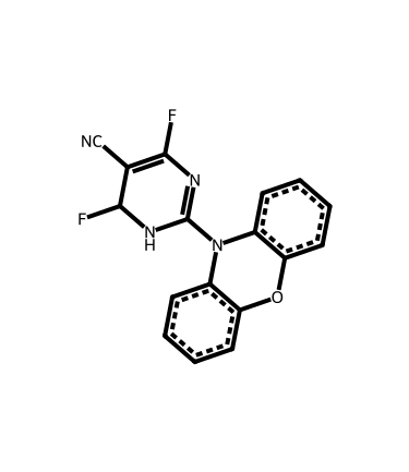 N#CC1=C(F)N=C(N2c3ccccc3Oc3ccccc32)NC1F